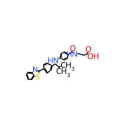 CC(C)C(Nc1ccc(C(=O)NCCC(=O)O)cc1)c1ccc(-c2nc3ccccc3s2)cc1